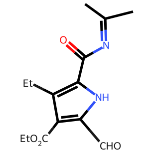 CCOC(=O)c1c(C=O)[nH]c(C(=O)N=C(C)C)c1CC